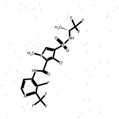 C[C@@H](NS(=O)(=O)c1cn(C)c(C(=O)Nc2ccnc(C(F)(F)F)c2F)c1Cl)C(F)(F)F